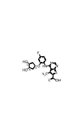 Cc1c(C(=O)O)sc2ncnc(Nc3ccc(F)cc3O[C@@H]3C[C@@H](O)[C@@H](O)C3)c12